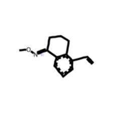 C=Cc1cccc2c1CCC/C2=N\OC